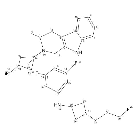 CC1Cc2c([nH]c3ccccc23)C(c2c(F)cc(NC3CN(CCCF)C3)cc2F)N1C12CC(C(C)C)(C1)C2